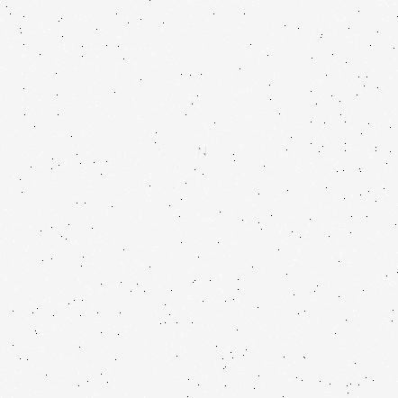 O=NC(=O)C1CC1C1C=CC=CC1